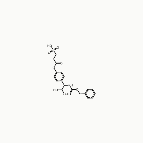 O=C(CCS(=O)(=O)O)Oc1ccc(C(NC(=O)OCc2ccccc2)C(O)O)cc1